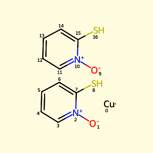 [Cu].[O-][n+]1ccccc1S.[O-][n+]1ccccc1S